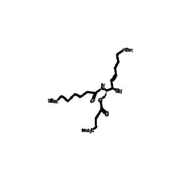 CCCCCCCCCCCCC/C=C/[C@@H](O)[C@H](COC(=O)CCC(=O)OCC)NC(=O)CCCCCCCCCCCCCCC